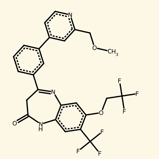 COCc1cc(-c2cccc(C3=Nc4cc(OCC(F)(F)F)c(C(F)(F)F)cc4NC(=O)C3)c2)ccn1